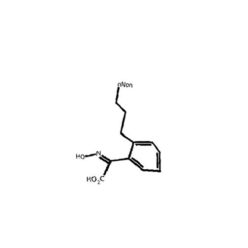 CCCCCCCCCCCCc1ccccc1C(=NO)C(=O)O